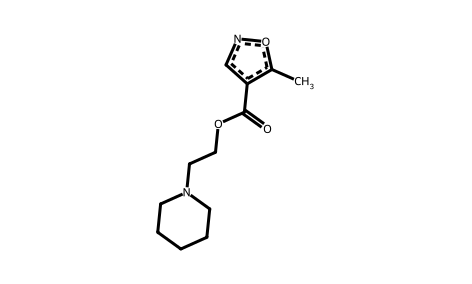 Cc1oncc1C(=O)OCCN1CCCCC1